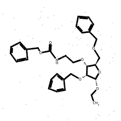 CCO[C@H]1O[C@H](COCc2ccccc2)[C@@H](OCCNC(=O)OCc2ccccc2)[C@H]1OCc1ccccc1